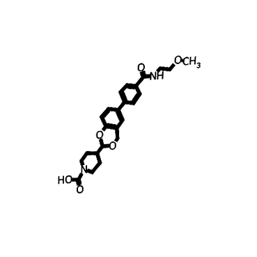 COCCNC(=O)c1ccc(-c2ccc3c(c2)COC(C2CCN(C(=O)O)CC2)O3)cc1